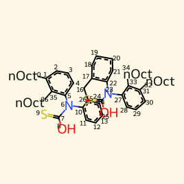 CCCCCCCCc1cccc(N(C(O)=S)c2ccccc2Cc2ccccc2N(C(O)=S)c2cccc(CCCCCCCC)c2CCCCCCCC)c1CCCCCCCC